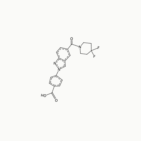 O=C(O)c1ccc(-n2cc3cc(C(=O)N4CCC(F)(F)CC4)ccc3n2)cc1